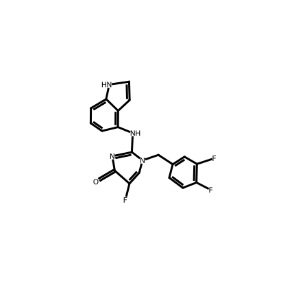 O=c1nc(Nc2cccc3[nH]ccc23)n(Cc2ccc(F)c(F)c2)cc1F